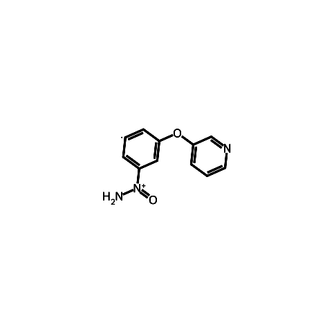 N[N+](=O)c1c[c]cc(Oc2cccnc2)c1